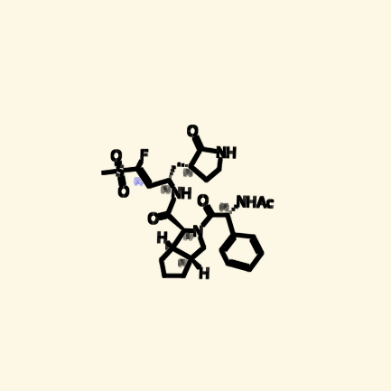 CC(=O)N[C@@H](C(=O)N1C[C@@H]2CCC[C@@H]2[C@H]1C(=O)N[C@H](/C=C(\F)S(C)(=O)=O)C[C@H]1CCNC1=O)c1ccccc1